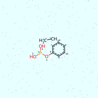 CC.OP(O)Oc1ccccc1